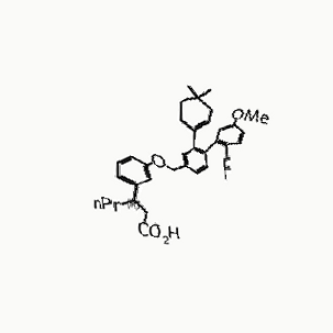 CCC[C@H](CC(=O)O)c1cccc(OCc2ccc(-c3cc(OC)ccc3F)c(C3=CCC(C)(C)CC3)c2)c1